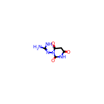 NC(N)=NN1C(=O)CC(=O)NC1=O